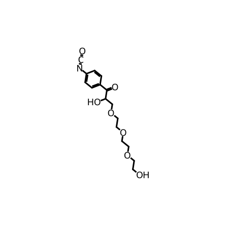 O=C=Nc1ccc(C(=O)C(O)COCCOCCOCCO)cc1